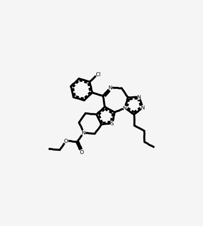 CCCCc1nnc2n1-c1sc3c(c1C(c1ccccc1Cl)=NC2)CCN(C(=O)OCC)C3